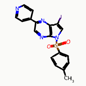 Cc1ccc(S(=O)(=O)n2cc(I)c3nc(-c4ccncc4)cnc32)cc1